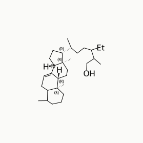 CCC(CCC(C)[C@H]1CC[C@H]2C3=CCC4C(C)CCC[C@]4(C)[C@H]3CC[C@]12C)C(C)CO